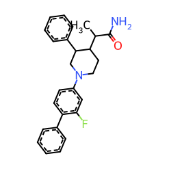 CC(C(N)=O)C1CCN(c2ccc(-c3ccccc3)c(F)c2)CC1c1ccccc1